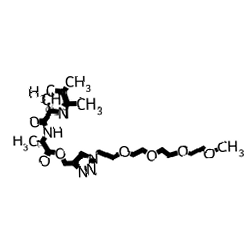 COCCOCCOCCOCCn1cc(COC(=O)[C@H](C)NC(=O)[C@H](C)N=C(C)C(C)C)nn1